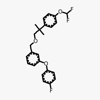 CC(C)(COCc1cccc(Oc2ccc(F)cc2)c1)c1ccc(OC(F)F)cc1